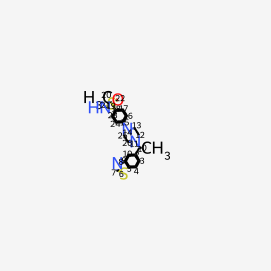 CC(c1ccc2scnc2c1)N1CCN(c2ccc(S(C)(=N)=O)cc2)CC1